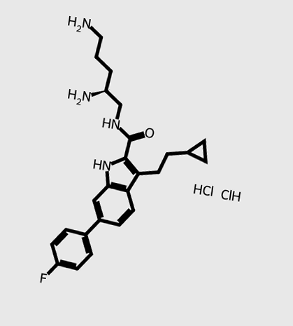 Cl.Cl.NCCC[C@H](N)CNC(=O)c1[nH]c2cc(-c3ccc(F)cc3)ccc2c1CCC1CC1